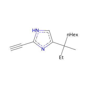 C#Cc1nc(C(C)(CC)CCCCCC)c[nH]1